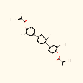 C=C(C)C(=O)Oc1ccc(-c2ccc(-c3ccc(OC(=O)C(=C)C)c(C)c3)c(C)c2)cc1C